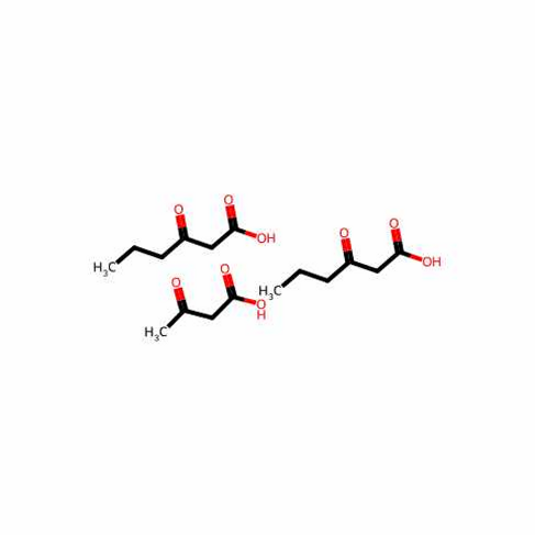 CC(=O)CC(=O)O.CCCC(=O)CC(=O)O.CCCC(=O)CC(=O)O